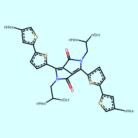 CCCCCCCCC(CCCCCC)CN1C(=O)C2=C(c3ccc(-c4cc(CCCCCC)cs4)s3)N(CC(CCCCCC)CCCCCCCC)C(=O)C2=C1c1ccc(-c2cc(CCCCCC)cs2)s1